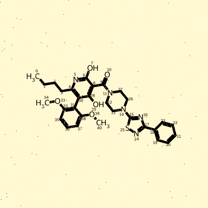 CCCCc1nc(O)c(C(=O)N2CCN(c3nc(-c4ccccc4)ns3)CC2)c(O)c1-c1c(OC)cccc1OC